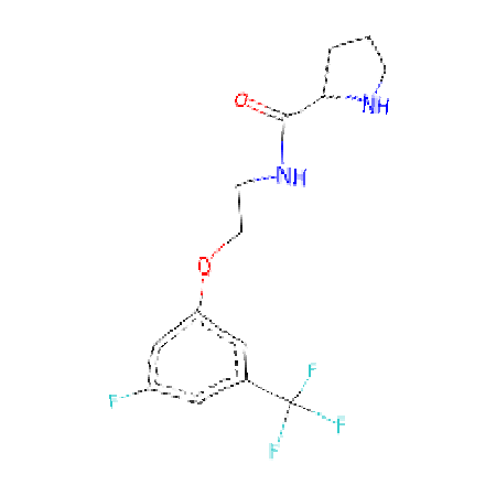 O=C(NCCOc1cc(F)cc(C(F)(F)F)c1)C1CCCN1